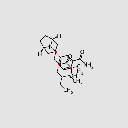 CCC(CC)CN(CCN1[C@@H]2CC[C@H]1C[C@@H](c1cccc(C(N)=O)c1)C2)C(=O)[C@H](C)O